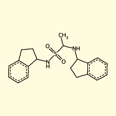 CC(NC1CCc2ccccc21)S(=O)(=O)NC1CCc2ccccc21